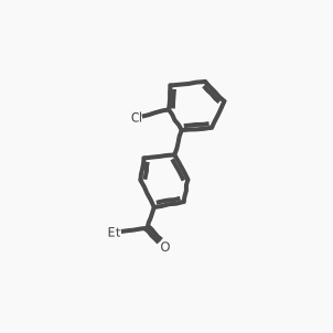 CCC(=O)c1ccc(-c2ccccc2Cl)cc1